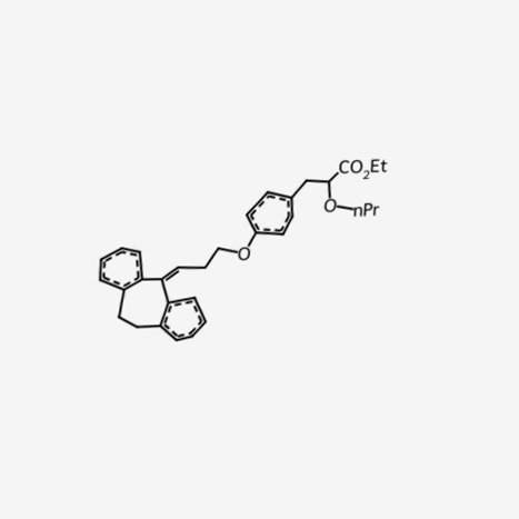 CCCOC(Cc1ccc(OCCC=C2c3ccccc3CCc3ccccc32)cc1)C(=O)OCC